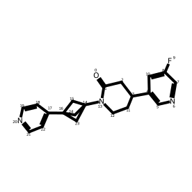 O=C1CC(c2cncc(F)c2)CCN1C12CC(c3ccncc3)(C1)C2